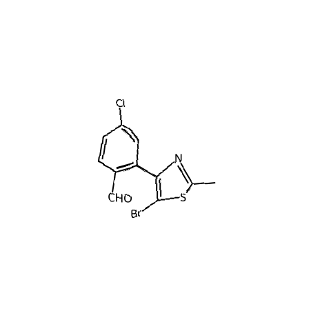 Cc1nc(-c2cc(Cl)ccc2C=O)c(Br)s1